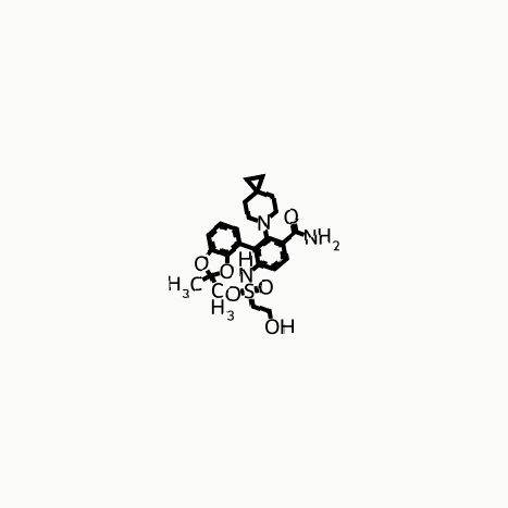 CC1(C)Oc2cccc(-c3c(NS(=O)(=O)CCO)ccc(C(N)=O)c3N3CCC4(CC3)CC4)c2O1